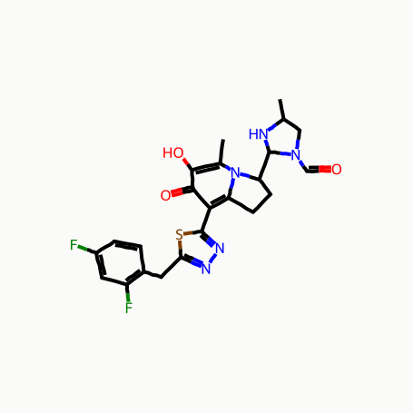 Cc1c(O)c(=O)c(-c2nnc(Cc3ccc(F)cc3F)s2)c2n1C(C1NC(C)CN1C=O)CC2